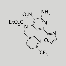 CCOC(=O)N(Cc1ccc(C(F)(F)F)nc1)c1cc(-c2ncco2)nc(N)c1[N+](=O)[O-]